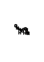 O=CCN1CCC(NCc2coc3cc(Oc4ccc(-c5ccn[nH]5)cn4)ccc23)CC1